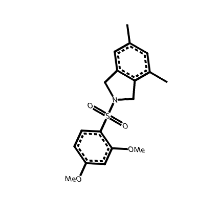 COc1ccc(S(=O)(=O)N2Cc3cc(C)cc(C)c3C2)c(OC)c1